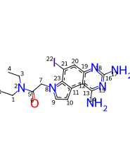 CCN(CC)C(=O)Cn1ccc2c3c(N)nc(N)nc3cc(I)c21